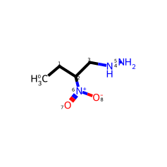 CCC(CNN)[N+](=O)[O-]